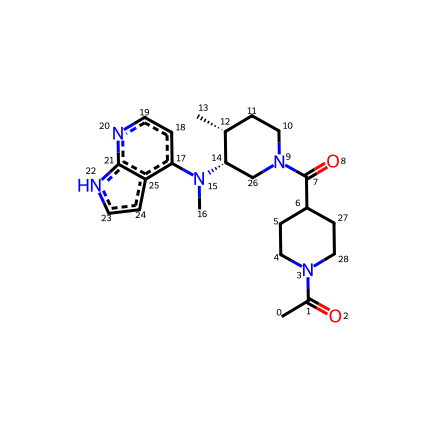 CC(=O)N1CCC(C(=O)N2CC[C@@H](C)[C@@H](N(C)c3ccnc4[nH]ccc34)C2)CC1